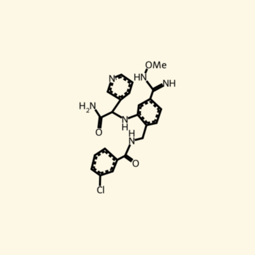 CONC(=N)c1ccc(CNC(=O)c2cccc(Cl)c2)c(NC(C(N)=O)c2cccnc2)c1